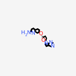 Nc1ccc2ccc(OC[C@@H]3CCC(n4ccc5cncnc54)O3)cc2n1